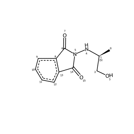 C[C@@H](CO)NN1C(=O)c2ccccc2C1=O